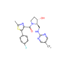 Cc1nc(C(=O)N2CC[C@H](O)[C@H]2CNc2ncc(C(F)(F)F)cn2)c(-c2ccc(F)cc2)s1